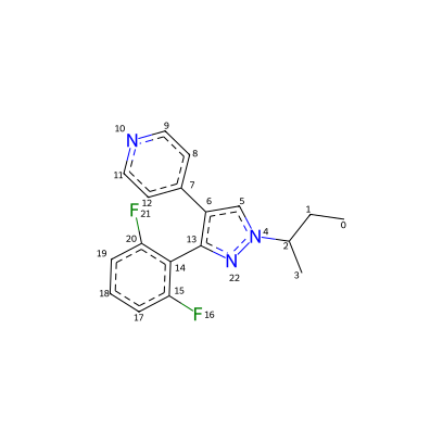 CCC(C)n1cc(-c2ccncc2)c(-c2c(F)cccc2F)n1